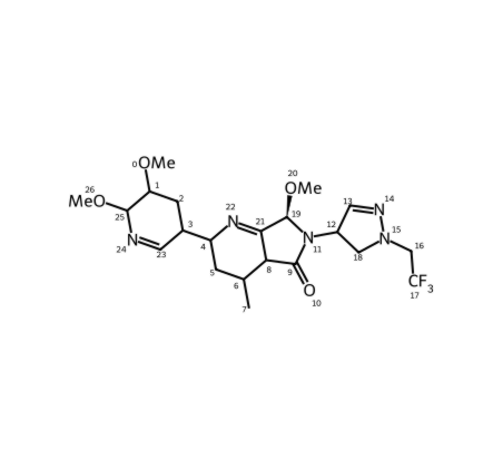 COC1CC(C2CC(C)C3C(=O)N(C4C=NN(CC(F)(F)F)C4)[C@H](OC)C3=N2)C=NC1OC